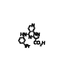 CC(C)c1cccc(Nc2nc3c(C(=O)O)cnn3c3cnccc23)c1